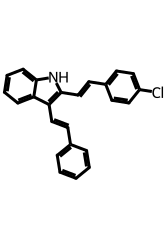 Clc1ccc(/C=C/c2[nH]c3ccccc3c2/C=C/c2ccccc2)cc1